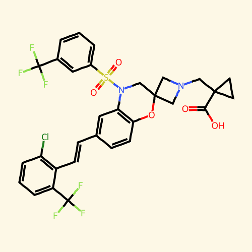 O=C(O)C1(CN2CC3(C2)CN(S(=O)(=O)c2cccc(C(F)(F)F)c2)c2cc(/C=C/c4c(Cl)cccc4C(F)(F)F)ccc2O3)CC1